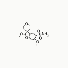 COC(=O)C1(c2ccc(OC)c(S(N)(=O)=O)c2)CCOCC1